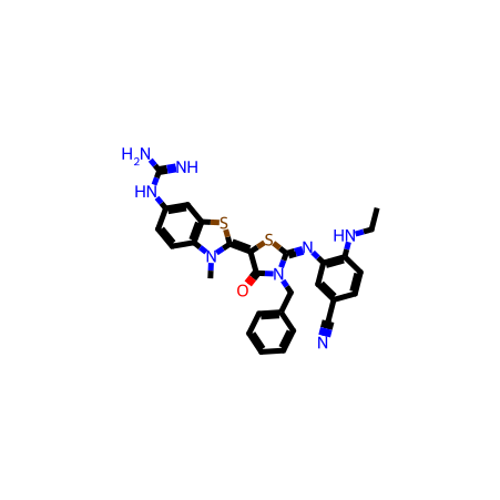 CCNc1ccc(C#N)cc1/N=C1/S/C(=C2\Sc3cc(NC(=N)N)ccc3N2C)C(=O)N1Cc1ccccc1